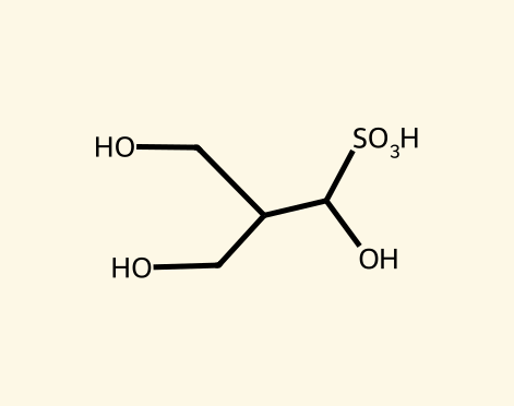 O=S(=O)(O)C(O)C(CO)CO